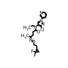 CCN(C(=O)CC/C(C)=N\OCCC1CC1(F)F)c1cn(-c2cccnc2)nc1Cl